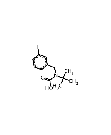 CC(C)(C)N(Cc1cccc(I)c1)C(=O)O